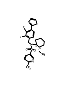 O=S(=O)(c1ccc(C(F)(F)F)nc1)N(Cc1ccc(-c2ncco2)c(F)c1F)[C@H]1CCCC[C@@H]1CO